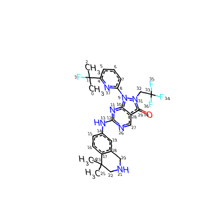 CC(C)(F)c1cccc(-n2c3nc(Nc4ccc5c(c4)CNCC5(C)C)ncc3c(=O)n2CC(F)(F)F)n1